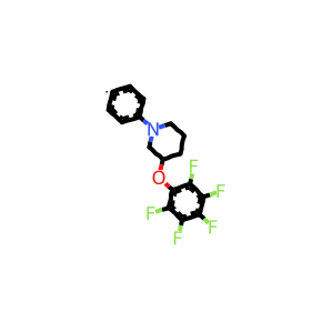 Fc1c(F)c(F)c(OC2CCCN(c3cc[c]cc3)C2)c(F)c1F